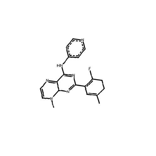 CC1=CC(C2=NC3C(=NC=CN3C)C(Nc3ccncc3)=N2)=C(F)CC1